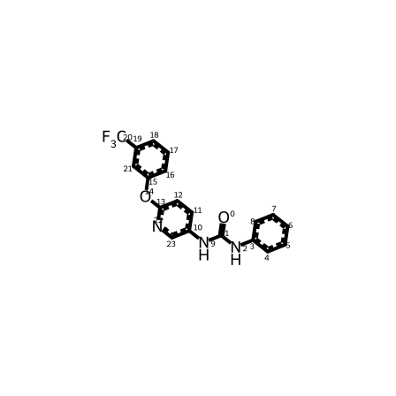 O=C(Nc1ccccc1)Nc1ccc(Oc2cccc(C(F)(F)F)c2)nc1